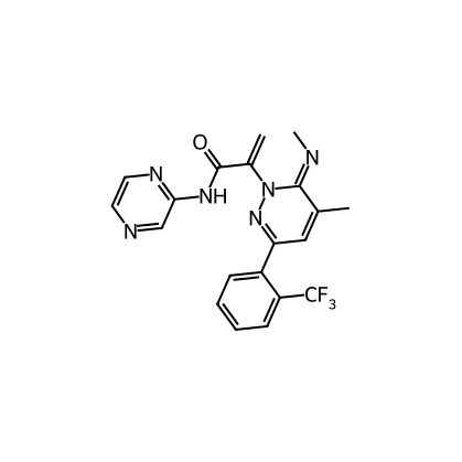 C=C(C(=O)Nc1cnccn1)n1nc(-c2ccccc2C(F)(F)F)cc(C)/c1=N/C